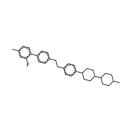 Cc1ccc(-c2ccc(CCc3ccc(C4CCC(C5CCC(C)CC5)CC4)cc3)cc2)c(F)c1